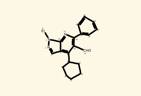 CCn1ncc2c(C3CCCCC3)c(C=O)c(-c3ccccc3)nc21